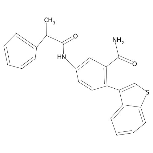 CC(C(=O)Nc1ccc(-c2csc3ccccc23)c(C(N)=O)c1)c1ccccc1